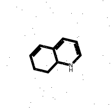 C1=CNC2CCC=CC2=C1